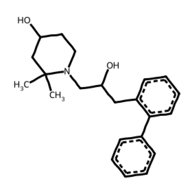 CC1(C)CC(O)CCN1CC(O)Cc1ccccc1-c1ccccc1